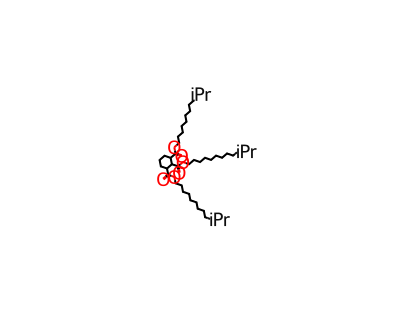 CC(C)CCCCCCCCCOC(=O)C1CCCC(C(=O)OCCCCCCCCCC(C)C)C1C(=O)OCCCCCCCCCC(C)C